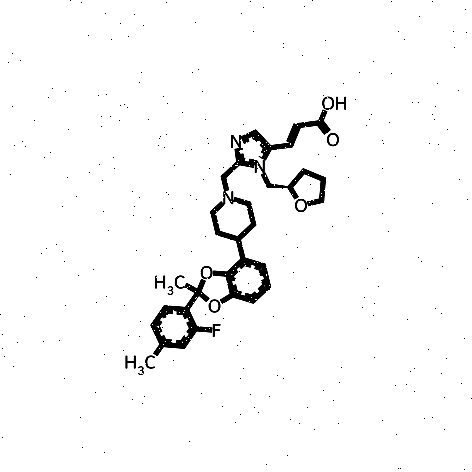 Cc1ccc(C2(C)Oc3cccc(C4CCN(Cc5ncc(/C=C/C(=O)O)n5C[C@H]5CCCO5)CC4)c3O2)c(F)c1